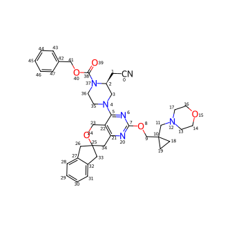 N#CC[C@H]1CN(c2nc(OCC3(CN4CCOCC4)CC3)nc3c2COC2(Cc4ccccc4C2)C3)CCN1C(=O)OCc1ccccc1